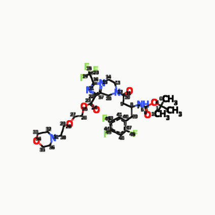 CC(C)(C)OC(=O)NC(CC(=O)N1CCn2c(C(F)(F)F)nc(C(=O)OCCOCCN3CCOCC3)c2C1)Cc1cc(F)c(F)cc1F